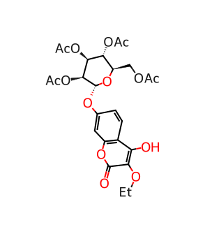 CCOc1c(O)c2ccc(O[C@H]3O[C@H](COC(C)=O)[C@@H](OC(C)=O)[C@H](OC(C)=O)[C@@H]3OC(C)=O)cc2oc1=O